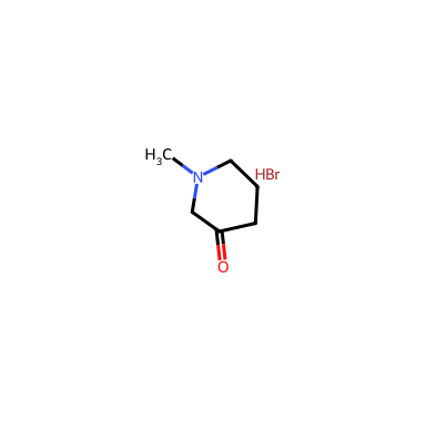 Br.CN1CCCC(=O)C1